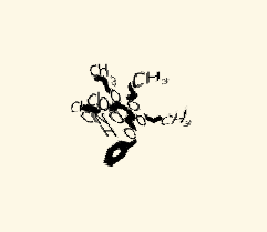 CCCCOC1[C@H](OCCCC)C(COCc2ccccc2)O[C@H](OC(=N)C(Cl)(Cl)Cl)[C@H]1OCCCC